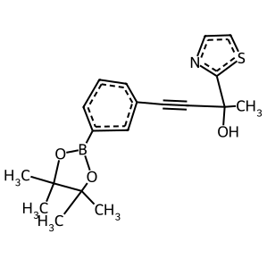 CC(O)(C#Cc1cccc(B2OC(C)(C)C(C)(C)O2)c1)c1nccs1